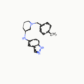 Cc1ccc(CN2CCCC(Nc3ccc4[nH]ncc4c3)C2)cc1